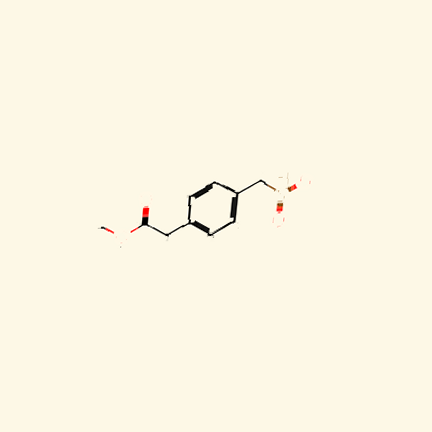 COC(=O)Cc1ccc(C[SH](=O)=O)cc1